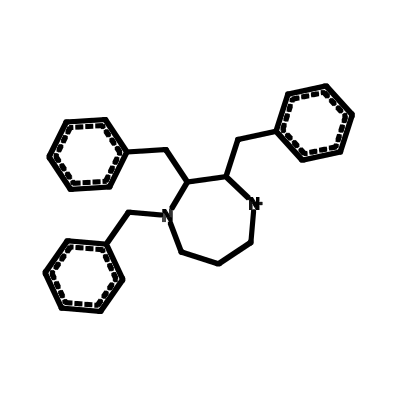 c1ccc(CC2[N]CCCN(Cc3ccccc3)C2Cc2ccccc2)cc1